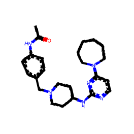 CC(=O)Nc1ccc(CN2CCC(Nc3nccc(N4CCCCCC4)n3)CC2)cc1